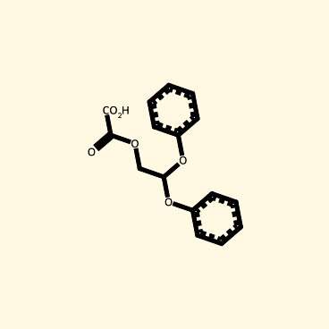 O=C(O)C(=O)OCC(Oc1ccccc1)Oc1ccccc1